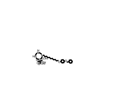 O=C(O)C(C(=O)O)(C(=O)O)N1CCNCCNCCN(CC(O)CCCCCCCCCOc2ccc(OCc3ccccc3)cc2)CC1